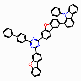 c1ccc(-c2ccc(-c3nc(-c4ccc5c(c4)oc4ccccc45)nc(-c4ccc5c(c4)oc4ccc(-c6cccc7c8ccccc8n(-c8ccccc8)c67)cc45)n3)cc2)cc1